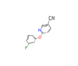 N#Cc1ccc(Oc2cccc(F)c2)nc1